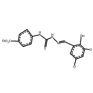 CCOC(=O)c1ccc(NC(=S)NN=Cc2cc(Cl)cc(Cl)c2O)cc1